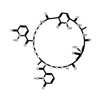 CC1NC(=O)c2ccc(c(=O)n2O)C(=O)NCCCN(C(=O)c2cccc(=O)n2O)CCCC(C)N(C(=O)c2cccc(=O)n2O)CCCNC(=O)c2ccc(n(O)c2=O)C(=O)N1